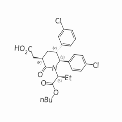 CCCCOC(=O)[C@H](CC)N1C(=O)[C@@H](CC(=O)O)C[C@H](c2cccc(Cl)c2)[C@H]1c1ccc(Cl)cc1